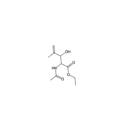 C=C(C)C(O)C(NC(C)=O)C(=O)OCC